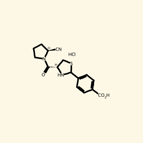 Cl.N#C[C@@H]1CCCN1C(=O)[C@@H]1CSC(c2ccc(C(=O)O)cc2)N1